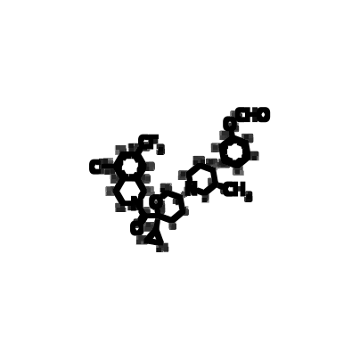 C[C@H]1CN([C@@H]2CC[C@@](C(=O)N3CCc4c(Cl)cc(C(F)(F)F)cc4C3)(C3CC3)OC2)CC[C@@H]1c1cccc(OC=O)c1